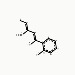 C/C=C(C=O)/C=C(\CC)c1ccccc1Cl